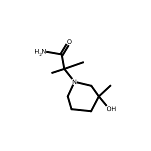 CC1(O)CCCN(C(C)(C)C(N)=O)C1